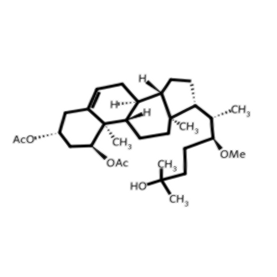 CO[C@@H](CCC(C)(C)O)[C@@H](C)[C@H]1CC[C@H]2[C@@H]3CC=C4C[C@@H](OC(C)=O)C[C@H](OC(C)=O)[C@]4(C)[C@H]3CC[C@]12C